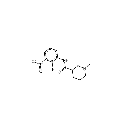 CN1CCCC(C(=O)Nc2cccc([N+](=O)[O-])c2F)C1